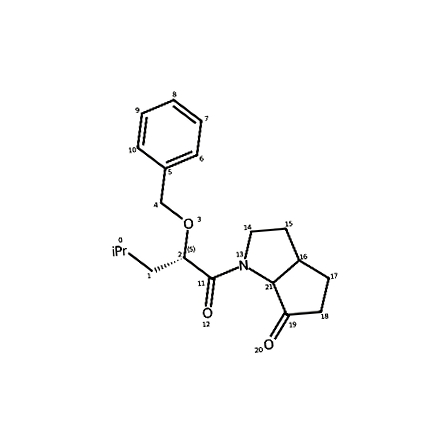 CC(C)C[C@H](OCc1ccccc1)C(=O)N1CCC2CCC(=O)C21